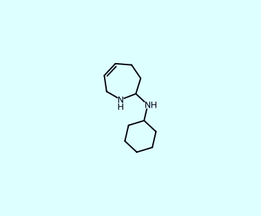 C1=CCNC(NC2CCCCC2)CC1